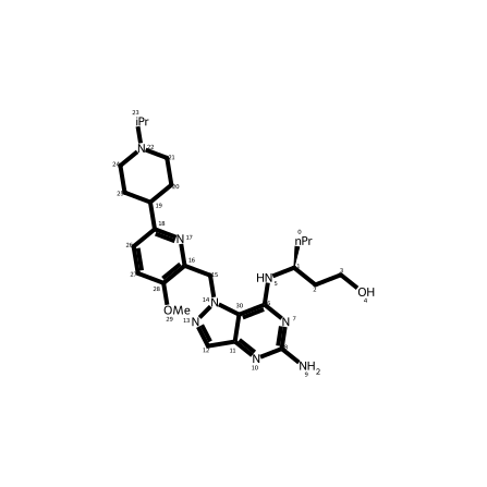 CCC[C@@H](CCO)Nc1nc(N)nc2cnn(Cc3nc(C4CCN(C(C)C)CC4)ccc3OC)c12